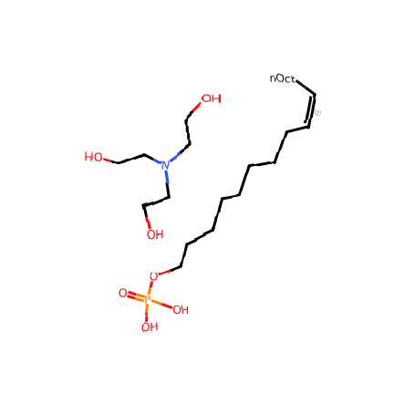 CCCCCCCC/C=C\CCCCCCCCOP(=O)(O)O.OCCN(CCO)CCO